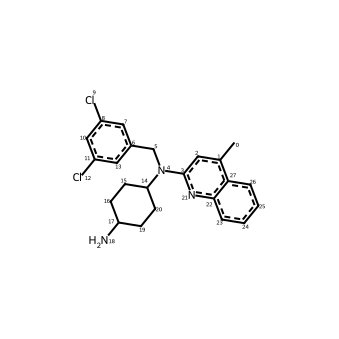 Cc1cc(N(Cc2cc(Cl)cc(Cl)c2)C2CCC(N)CC2)nc2ccccc12